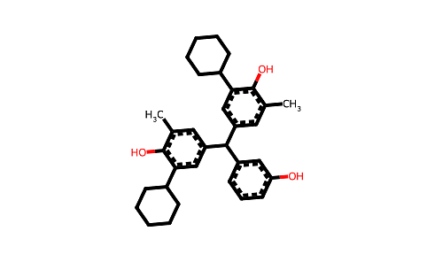 Cc1cc(C(c2cccc(O)c2)c2cc(C)c(O)c(C3CCCCC3)c2)cc(C2CCCCC2)c1O